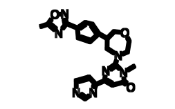 Cc1nc(-c2ccc(C3COCCN(c4nc(-c5ccncn5)cc(=O)n4C)C3)cc2)no1